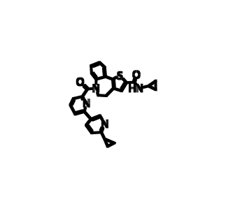 O=C(NC1CC1)c1cc2c(s1)-c1ccccc1N(C(=O)c1cccc(-c3ccc(C4CC4)nc3)n1)CC2